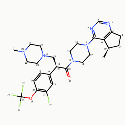 C[C@@H]1CCc2ncnc(N3CCN(C(=O)[C@H](CN4CCN(C)CC4)c4ccc(OC(F)(F)F)c(F)c4)CC3)c21